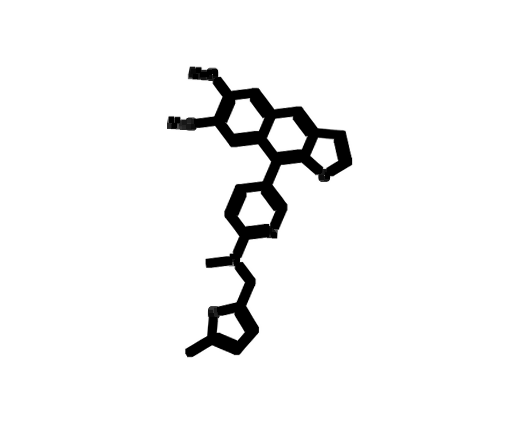 COc1cc2cc3ccoc3c(-c3ccc(N(C)Cc4ccc(C)o4)nc3)c2cc1OC